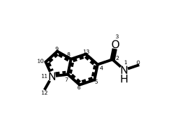 CNC(=O)c1ccc2c(ccn2C)c1